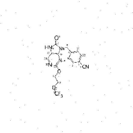 N#Cc1ccc(Cn2c(=O)[nH]c3cnc(OCCOC(F)(F)F)nc32)cc1